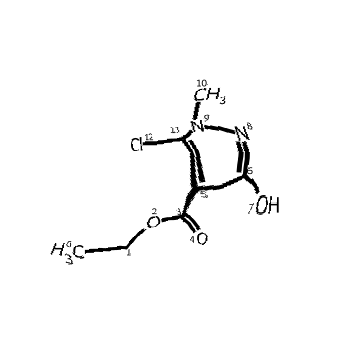 CCOC(=O)c1c(O)nn(C)c1Cl